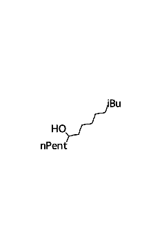 CCCCCC(O)CCCCCC(C)CC